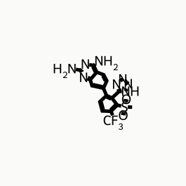 CS(=O)(=O)c1c(C(F)(F)F)ccc(-c2ccc3c(N)nc(N)nc3c2)c1-c1nnn[nH]1